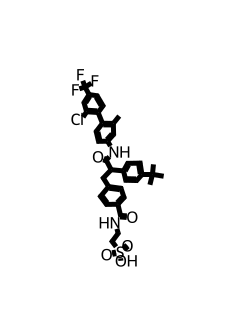 Cc1cc(NC(=O)C(Cc2ccc(C(=O)NCCS(=O)(=O)O)cc2)c2ccc(C(C)(C)C)cc2)ccc1-c1ccc(C(F)(F)F)cc1Cl